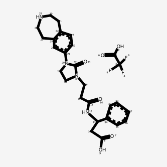 O=C(O)C(F)(F)F.O=C(O)CC(NC(=O)CCN1CCN(c2ccc3c(c2)CCNCC3)C1=O)c1ccccc1